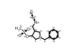 CS(=O)(=O)OC1CN(Cc2ccccc2)CC1CN=[N+]=[N-]